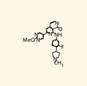 COc1ncc(-c2cc3c(c(Nc4ccc(C5CCN(C)CC5)c(F)c4)n2)C(=O)[N]C=C3)cn1